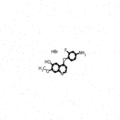 Br.COc1cc2nccc(Oc3ccc(N)cc3F)c2cc1O